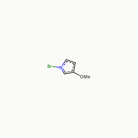 COc1ccn(Br)c1